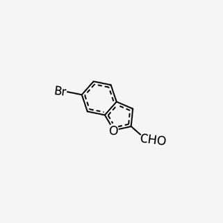 O=Cc1cc2ccc(Br)cc2o1